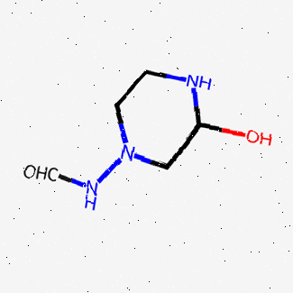 O=CNN1CCNC(O)C1